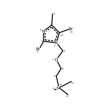 Cc1nc(Br)n(COCC[Si](C)(C)C)c1Br